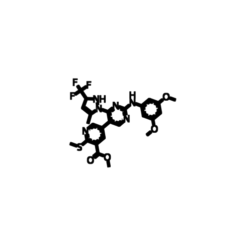 COC(=O)c1cc(-c2cnc(Nc3cc(OC)cc(OC)c3)nc2N2NC(C(F)(F)F)C=C2C)cnc1SC